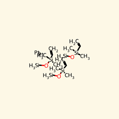 C=C[Si](C)(C)O[SiH3].C=C[Si](C)(C)O[SiH3].C=C[Si](C)(C)O[SiH3].[Pt].[Pt]